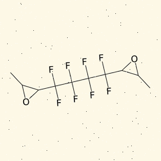 CC1OC1C(F)(F)C(F)(F)C(F)(F)C(F)(F)C1OC1C